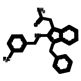 NC(=O)Cc1c(NCc2cccc(C(F)(F)F)c2)n(Cc2ccccc2)c2ccccc12